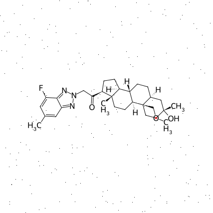 COC[C@]12CC[C@@](C)(O)C[C@@H]1CC[C@H]1[C@@H]3CC[C@H](C(=O)Cn4nc5cc(C)cc(F)c5n4)[C@@]3(C)CC[C@@H]12